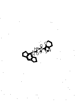 O=C(Nc1c2c(cc3c1CCC3)CCC2)NS(=O)(=O)c1snc2c1OCCC2